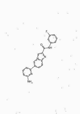 Nc1cccc(-c2ccc3nc(C(=O)Nc4cccc(F)c4)cn3c2)n1